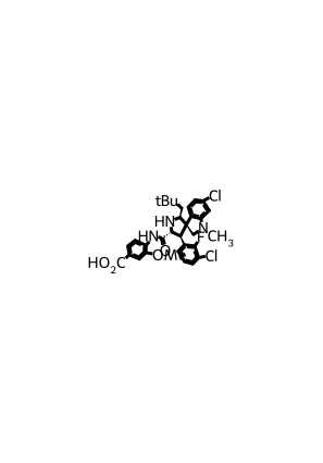 COc1cc(C(=O)O)ccc1NC(=O)[C@@H]1N[C@@H](CC(C)(C)C)[C@@]2(CN(C)c3cc(Cl)ccc32)[C@H]1c1cccc(Cl)c1F